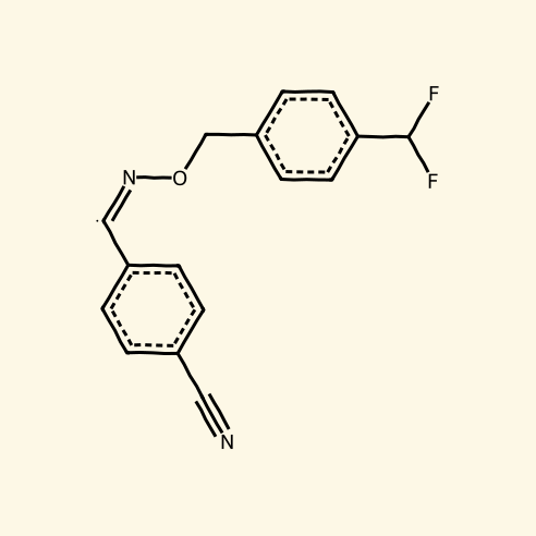 N#Cc1ccc(/[C]=N\OCc2ccc(C(F)F)cc2)cc1